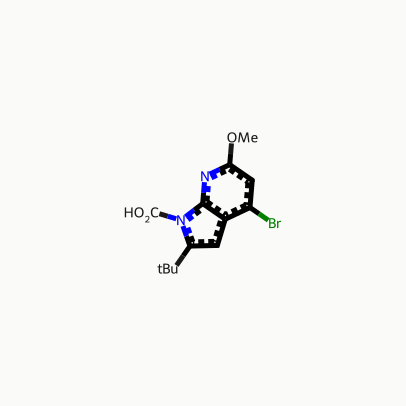 COc1cc(Br)c2cc(C(C)(C)C)n(C(=O)O)c2n1